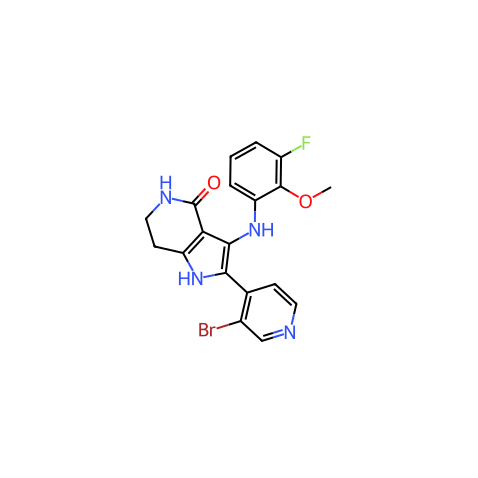 COc1c(F)cccc1Nc1c(-c2ccncc2Br)[nH]c2c1C(=O)NCC2